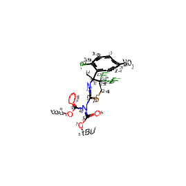 CC(C)(C)OC(=O)N(C(=O)OC(C)(C)C)C1=N[C@](C)(c2cc([N+](=O)[O-])ccc2F)C(F)(F)CS1